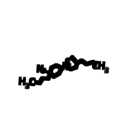 CCCCC1CCN([C@H]2CC[C@@](C#N)(CCCC)CC2)CC1